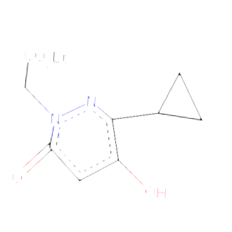 CCOC(=O)Cn1nc(C2CC2)c(O)cc1=O